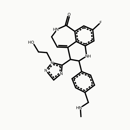 CNCc1ccc(C2Nc3cc(F)cc4c3C(=CCNC4=O)C2c2ncnn2CCO)cc1